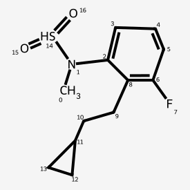 CN(c1cccc(F)c1CCC1CC1)[SH](=O)=O